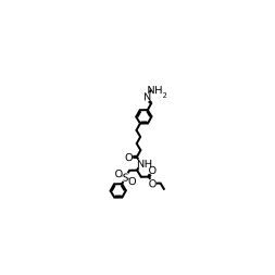 CCOC(=O)CC(CS(=O)(=O)c1ccccc1)NC(=O)CCCCc1ccc(C=NN)cc1